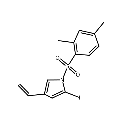 C=Cc1cc(I)n(S(=O)(=O)c2ccc(C)cc2C)c1